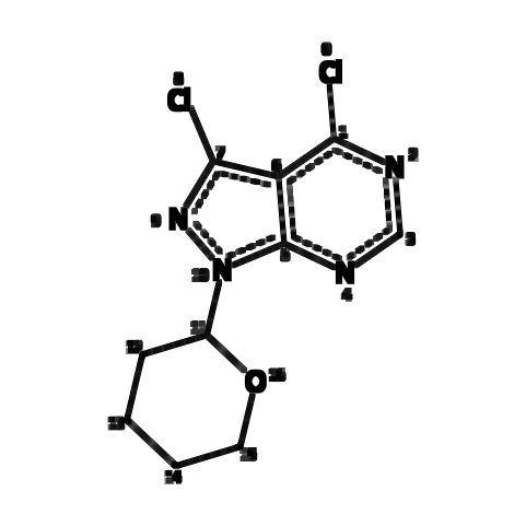 Clc1ncnc2c1c(Cl)nn2C1CCCCO1